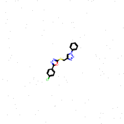 Clc1ccc(-c2nnc(SCc3cn(-c4ccccc4)nn3)o2)cc1